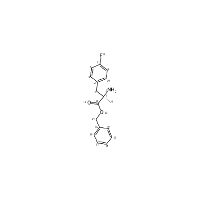 C[C@@](N)(Cc1ccc(F)cc1)C(=O)OCc1ccccc1